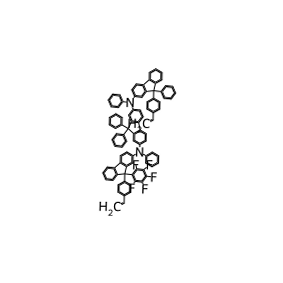 C=Cc1ccc(C2(c3ccccc3)c3ccccc3-c3ccc(N(c4ccccc4)c4ccc5c(c4)C(c4ccccc4)(c4ccccc4)c4cc(N(c6ccccc6)c6ccc7c(c6)C(c6ccc(C=C)cc6)(c6c(F)c(F)c(F)c(F)c6F)c6ccccc6-7)ccc4-5)cc32)cc1